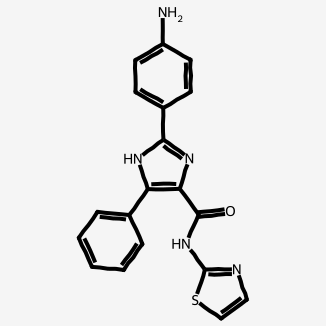 Nc1ccc(-c2nc(C(=O)Nc3nccs3)c(-c3ccccc3)[nH]2)cc1